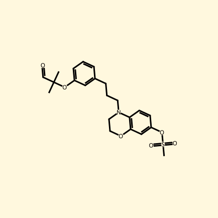 CC(C)(C=O)Oc1cccc(CCCN2CCOc3cc(OS(C)(=O)=O)ccc32)c1